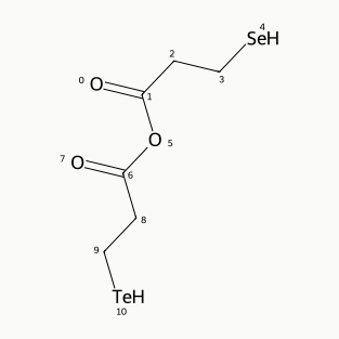 O=C(CC[SeH])OC(=O)CC[TeH]